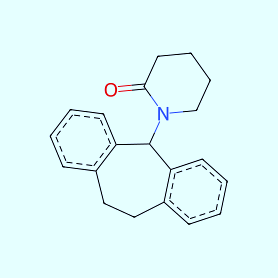 O=C1CCCCN1C1c2ccccc2CCc2ccccc21